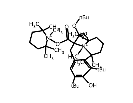 CCCCOC(=O)C(Cc1cc(C(C)(C)C)c(O)c(C(C)(C)C)c1)(C(=O)O[N+]1(C)C(C)(C)CCCC1(C)C)[N+]1(C)C(C)(C)CCCC1(C)C